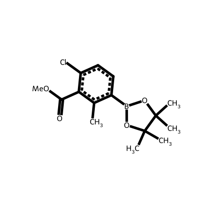 COC(=O)c1c(Cl)ccc(B2OC(C)(C)C(C)(C)O2)c1C